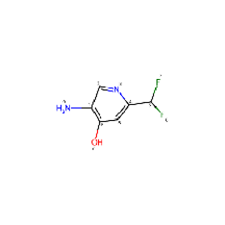 Nc1cnc(C(F)F)cc1O